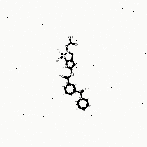 O=C(O)CN1Cc2cc(NC(=O)c3cccc(C(=O)c4ccccc4)c3)sc2S1(=O)=O